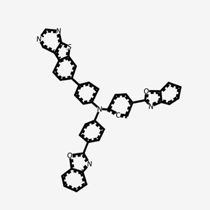 c1ccc2oc(-c3ccc(N(c4ccc(-c5ccc6c(c5)sc5ncncc56)cc4)c4ccc(-c5nc6ccccc6o5)cc4)cc3)nc2c1